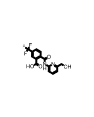 O=C(O)c1cc(C(F)(F)F)ccc1C(=O)Nc1cccc(CO)n1